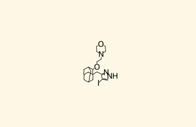 Ic1c[nH]nc1CC12CC3CC(CC(C3)C1OCCN1CCOCC1)C2